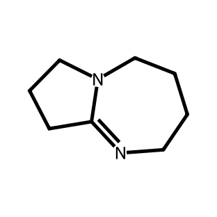 C1CCN2CCCC2=NC1